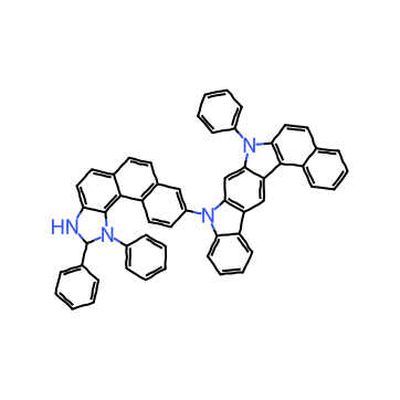 c1ccc(C2Nc3ccc4ccc5cc(-n6c7ccccc7c7cc8c9c%10ccccc%10ccc9n(-c9ccccc9)c8cc76)ccc5c4c3N2c2ccccc2)cc1